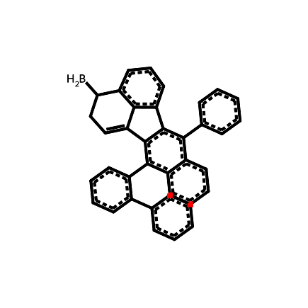 BC1CC=C2c3c(cccc31)-c1c2c(-c2ccccc2-c2ccccc2)c2ccccc2c1-c1ccccc1